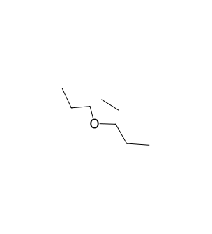 CC.CCCOCCC